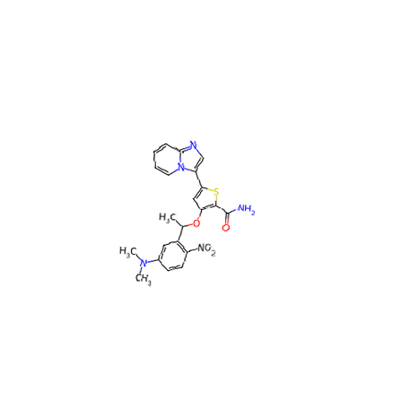 CC(Oc1cc(-c2cnc3ccccn23)sc1C(N)=O)c1cc(N(C)C)ccc1[N+](=O)[O-]